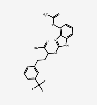 CC(=O)Nc1cccc2[nH]c(NC(CCc3cccc(C(F)(F)F)c3)C(=O)O)nc12